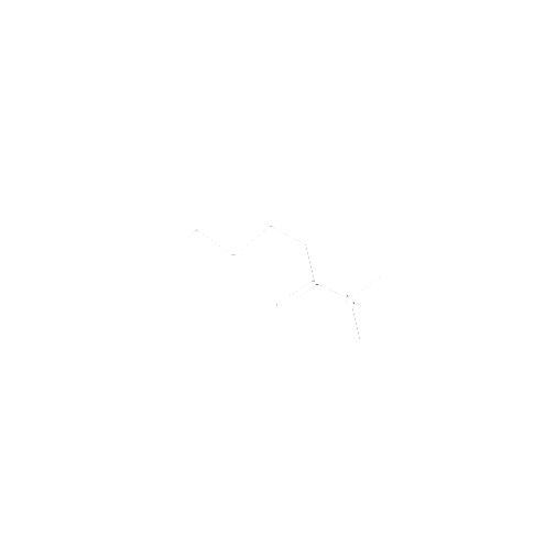 CCCC[C@H](C)C(=O)N(C)C